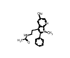 CC(=O)NCCc1c(-c2ccccc2)n(C)c2ncc(O)cc12